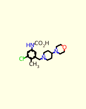 Cc1c(Cl)cc(NC(=O)O)cc1CN1CCC(N2CCOCC2)CC1